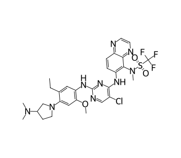 CCc1cc(Nc2ncc(Cl)c(Nc3ccc4nccnc4c3N(C)S(=O)(=O)C(F)(F)F)n2)c(OC)cc1N1CCC(N(C)C)C1